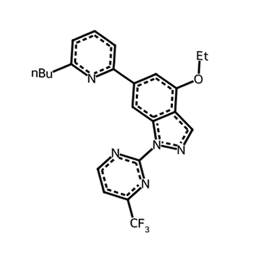 CCCCc1cccc(-c2cc(OCC)c3cnn(-c4nccc(C(F)(F)F)n4)c3c2)n1